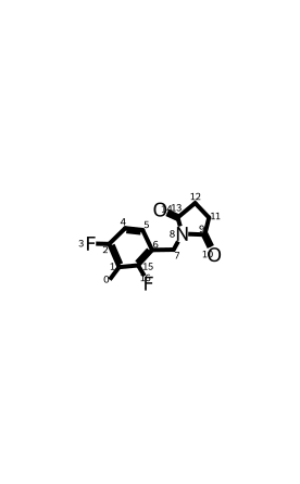 Cc1c(F)ccc(CN2C(=O)CCC2=O)c1F